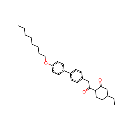 CCCCCCCCOc1ccc(-c2ccc(CC(=O)C3CCC(CC)CC3=O)cc2)cc1